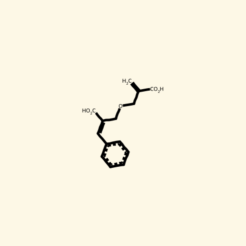 C=C(COCC(=Cc1ccccc1)C(=O)O)C(=O)O